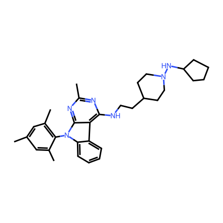 Cc1cc(C)c(-n2c3ccccc3c3c(NCCC4CCN(NC5CCCC5)CC4)nc(C)nc32)c(C)c1